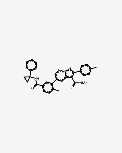 CNC(=O)c1c(-c2ccc(F)cc2)nn2ncc(-c3cc(C(=O)NC4(c5ccccc5)CC4)ccc3C)cc12